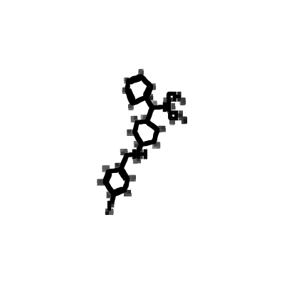 CN(C)C(c1ccccc1)C1CCC(NCc2ccc(F)cc2)CC1